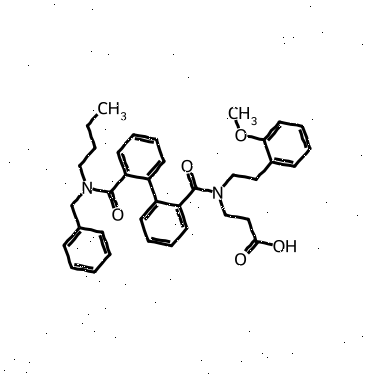 CCCCN(Cc1ccccc1)C(=O)c1ccccc1-c1ccccc1C(=O)N(CCC(=O)O)CCc1ccccc1OC